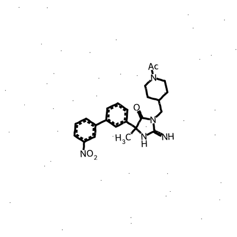 CC(=O)N1CCC(CN2C(=N)NC(C)(c3cccc(-c4cccc([N+](=O)[O-])c4)c3)C2=O)CC1